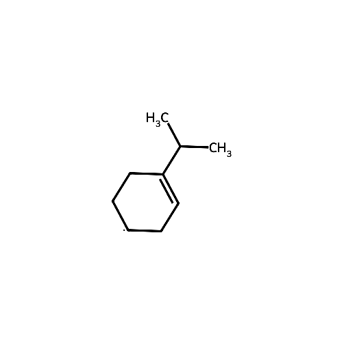 CC(C)C1=CC[CH]CC1